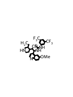 C=CC1CNCCC1C(C)C(NC(=S)Nc1cc(C(F)(F)F)cc(C(F)(F)F)c1)c1ccnc2ccc(OC)cc12